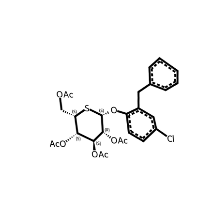 CC(=O)OC[C@@H]1S[C@H](Oc2ccc(Cl)cc2Cc2ccccc2)[C@H](OC(C)=O)[C@@H](OC(C)=O)[C@@H]1OC(C)=O